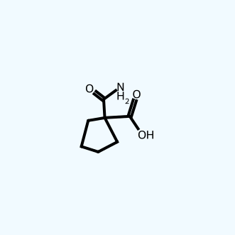 NC(=O)C1(C(=O)O)CCCC1